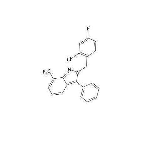 Fc1ccc(Cn2nc3c(C(F)(F)F)cccc3c2-c2ccccc2)c(Cl)c1